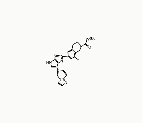 Cc1cc(-c2cnc3[nH]cc(-c4ccc5nccn5c4)c3n2)cc2c1CN(C(=O)OC(C)(C)C)CC2